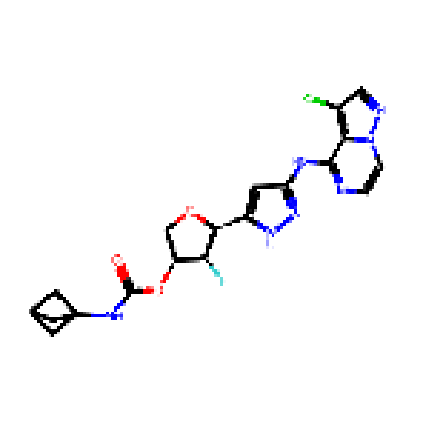 O=C(NC12CC(C1)C2)O[C@H]1CO[C@@H](c2cc(Nc3nccn4ncc(Cl)c34)n[nH]2)[C@H]1F